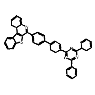 C1=CCC(c2nc(C3=CC=C(c4ccc(C5=NC6=CC=CCC6c6c5sc5ccccc65)cc4)CC3)nc(-c3ccccc3)n2)C=C1